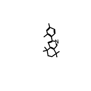 Cc1ccc(-c2cc3c(cn2)C(C)(C)CCC3(C)C)c(C)c1